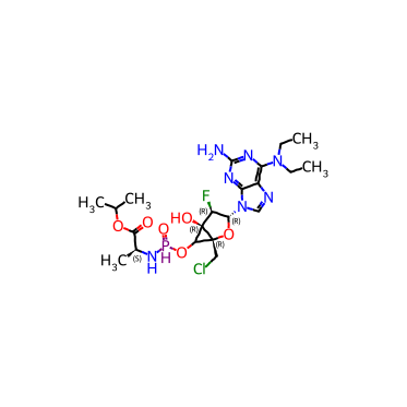 CCN(CC)c1nc(N)nc2c1ncn2[C@@H]1O[C@]2(CCl)C(O[PH](=O)N[C@@H](C)C(=O)OC(C)C)[C@]2(O)[C@H]1F